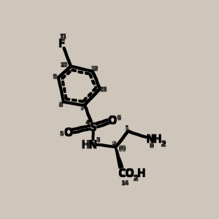 NC[C@H](NS(=O)(=O)c1ccc(F)cc1)C(=O)O